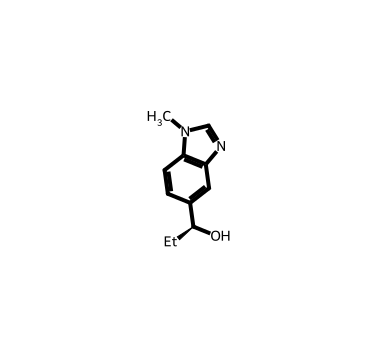 CC[C@H](O)c1ccc2c(c1)ncn2C